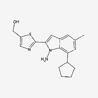 Cc1cc(C2CCCC2)c2c(c1)cc(-c1ncc(CO)s1)n2N